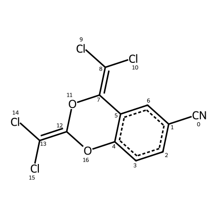 N#Cc1ccc2c(c1)C(=C(Cl)Cl)OC(=C(Cl)Cl)O2